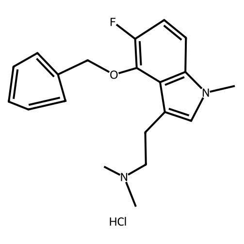 CN(C)CCc1cn(C)c2ccc(F)c(OCc3ccccc3)c12.Cl